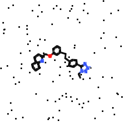 CCN1N=[N+]N=C1c1ccc(CCc2cccc(OCc3ccc4ccccc4n3)c2)cc1